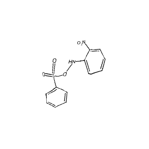 O=[N+]([O-])c1ccccc1NOS(=O)(=O)c1ccccc1